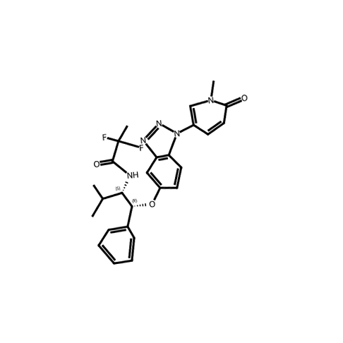 CC(C)[C@H](NC(=O)C(C)(F)F)[C@H](Oc1ccc2c(c1)nnn2-c1ccc(=O)n(C)c1)c1ccccc1